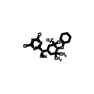 CCCCN(c1nc(Cl)nc(Cl)n1)C1CC(C)(C)N(OC2CCCCC2)C(C)(C)C1